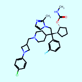 CNC(=O)O[C@@H]1CCC[C@H]1C(Cn1ccnc1C)(c1cccc(F)c1)C1CCN(CC2CN(c3ccc(Cl)cc3)C2)CC1